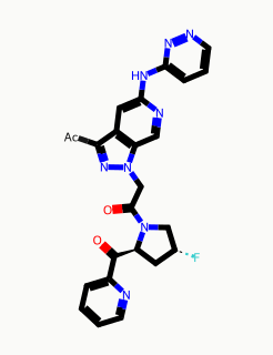 CC(=O)c1nn(CC(=O)N2C[C@H](F)C[C@H]2C(=O)c2ccccn2)c2cnc(Nc3cccnn3)cc12